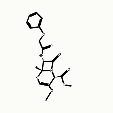 COC(=O)[C@H]1C(OC)=CS[C@@H]2[C@H](NC(=O)COc3ccccc3)C(=O)N12